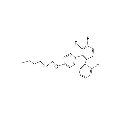 CCCCCCOc1ccc(-c2c(-c3ccccc3F)ccc(F)c2F)cc1